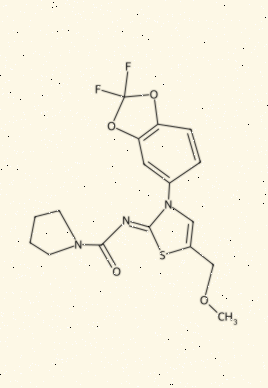 COCc1cn(-c2ccc3c(c2)OC(F)(F)O3)c(=NC(=O)N2CCCC2)s1